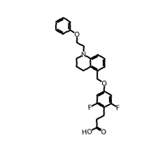 O=C(O)CCc1c(F)cc(OCc2cccc3c2CCCN3CCOc2ccccc2)cc1F